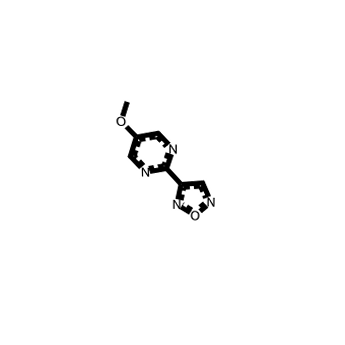 COc1cnc(-c2cnon2)nc1